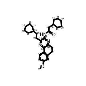 COc1ccc2c(c1)CCc1nc(NC(=O)CC3CCCCC3)c(CCC3CCCCC3)nc1-2